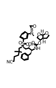 CN(B1CO1)c1cccc(S(=O)(=O)N(C[C@@H](O)[C@H](Cc2ccccc2)NC(=O)O[C@H]2CO[C@H]3OCC[C@H]32)CC(C)(C)CCCC#N)c1